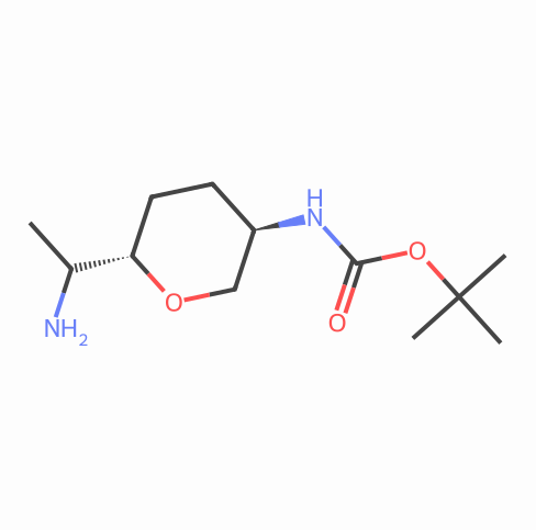 CC(N)[C@@H]1CC[C@@H](NC(=O)OC(C)(C)C)CO1